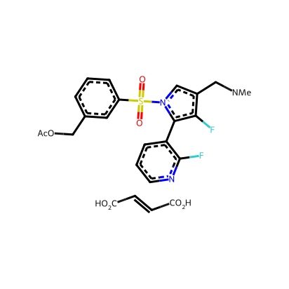 CNCc1cn(S(=O)(=O)c2cccc(COC(C)=O)c2)c(-c2cccnc2F)c1F.O=C(O)C=CC(=O)O